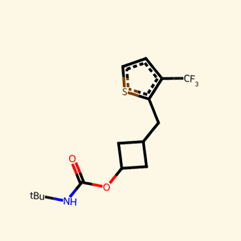 CC(C)(C)NC(=O)OC1CC(Cc2sccc2C(F)(F)F)C1